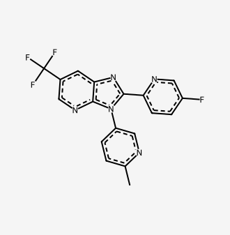 Cc1ccc(-n2c(-c3ccc(F)cn3)nc3cc(C(F)(F)F)cnc32)cn1